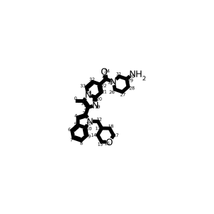 Cc1c(-c2cc3ccccc3n2CC2CCOCC2)nc2cc(C(=O)N3CCCC(N)C3)ccn12